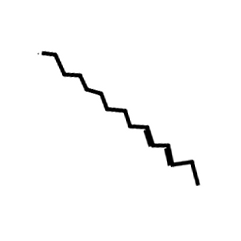 [CH2]CCCCCCCCC=CC=CCC